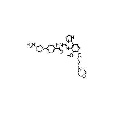 COc1c(OCCCN2CCOCC2)ccc2c1N=C(NC(=O)c1ccc(N3CC[C@H](N)C3)nc1)N1CCN=C21